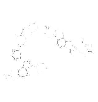 CC1(Oc2ccc3c(c2)c(-c2cc(N4CCN(C[C@@H]5CC[C@@H](CN6CCN(c7ccc8c(c7F)CN(C7CCC(=O)NC7=O)C8=O)CC6)OC5)CC4)ncn2)nn3C2CCCCO2)CC1